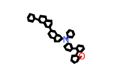 c1ccc(-c2ccc3ccc(-c4ccc5ccc(N(c6ccccc6)c6cccc(-c7cccc8oc9ccccc9c78)c6)cc5c4)cc3c2)cc1